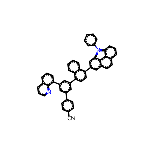 N#Cc1ccc(-c2cc(-c3ccc(-c4cc5ccc6cccc7c6c5c(c4)n7-c4ccccc4)c4ccccc34)cc(-c3cccc4cccnc34)c2)cc1